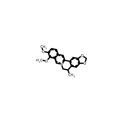 COc1ccc2cc3[n+](cc2c1OC)CC(C)c1cc2c(cc1-3)OCO2